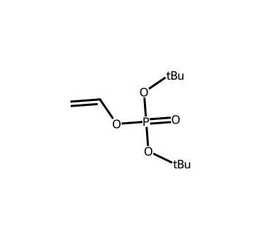 C=COP(=O)(OC(C)(C)C)OC(C)(C)C